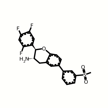 CS(=O)(=O)c1cccc(-c2ccc3c(c2)C[C@H](N)[C@@H](c2cc(F)c(F)cc2F)O3)c1